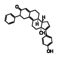 C[C@]12CCC3=C4CC(c5ccccc5)C(=O)C=C4CC[C@H]3[C@@H]1CC=C2c1ccc(O)cc1